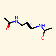 CC(=O)NC/C=C/NC(C)O